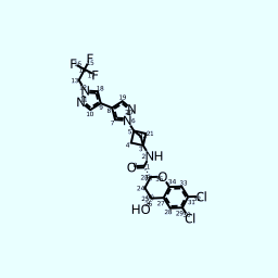 O=C(NC12CC(n3cc(-c4cnn(CC(F)(F)F)c4)cn3)(C1)C2)[C@H]1C[C@@H](O)c2cc(Cl)c(Cl)cc2O1